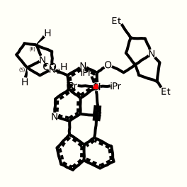 CCC1CN2CC(CC)CC2(COc2nc(N3C[C@H]4CC[C@@H](C3)N4C(=O)O)c3cnc(-c4cccc5cccc(C#C[Si](C(C)C)(C(C)C)C(C)C)c45)c(F)c3n2)C1